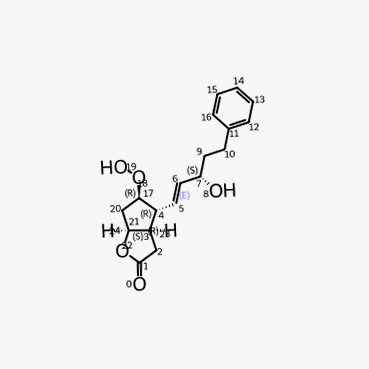 O=C1C[C@@H]2[C@@H](/C=C/[C@@H](O)CCc3ccccc3)[C@H](OO)C[C@@H]2O1